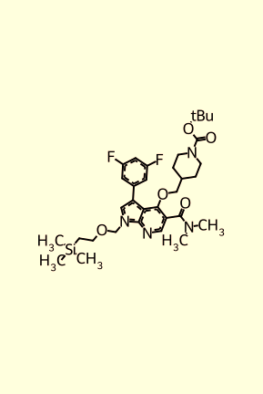 CN(C)C(=O)c1cnc2c(c(-c3cc(F)cc(F)c3)cn2COCC[Si](C)(C)C)c1OCC1CCN(C(=O)OC(C)(C)C)CC1